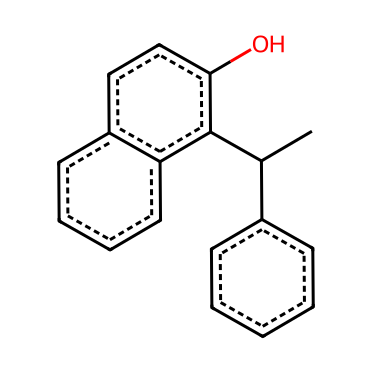 CC(c1ccccc1)c1c(O)ccc2ccccc12